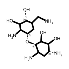 NCC1C[C@H](O[C@@H]2C(N)C[C@@H](N)C(O)C2O)C(N)C(O)[C@@H]1O